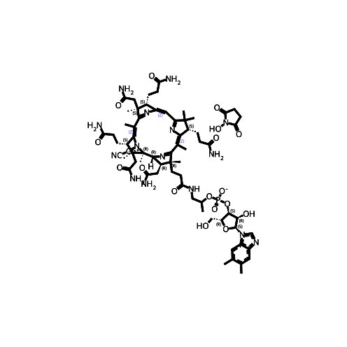 C/C1=C2N=C(/C=C3N=C(/C(C)=C4/[C@@H](CCC(N)=O)[C@](C)(CC(N)=O)[C@](C)([C@@H]5N=C1[C@](C)(CCC(=O)NCC(C)OP(=O)([O-])O[C@H]1[C@@H](O)[C@@H](n6cnc7cc(C)c(C)cc76)O[C@@H]1CO)[C@H]5CC(N)=O)[N]4[Co+][C]#N)[C@@](C)(CC(N)=O)[C@@H]\3CCC(N)=O)C(C)(C)[C@@H]/2CCC(N)=O.O=C1CCC(=O)N1O